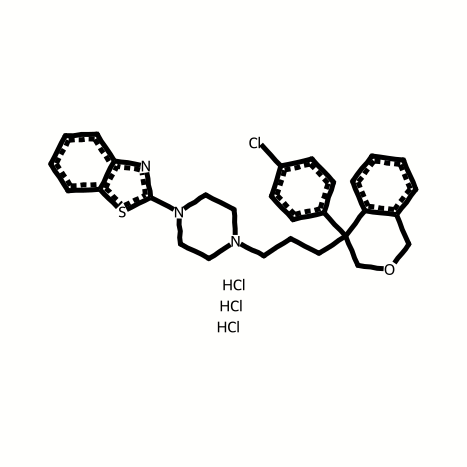 Cl.Cl.Cl.Clc1ccc(C2(CCCN3CCN(c4nc5ccccc5s4)CC3)COCc3ccccc32)cc1